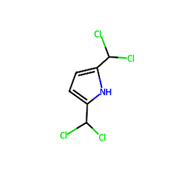 ClC(Cl)c1ccc(C(Cl)Cl)[nH]1